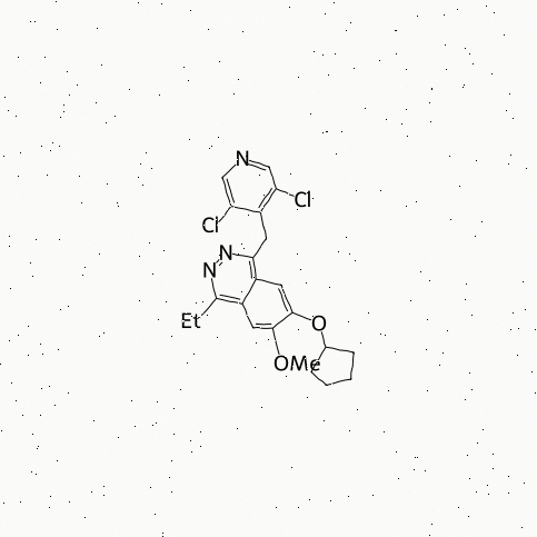 CCc1nnc(Cc2c(Cl)cncc2Cl)c2cc(OC3CCCC3)c(OC)cc12